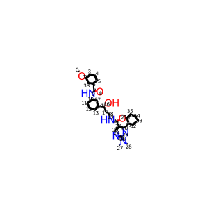 COc1cccc(C(=O)Nc2cccc(C(O)CCNC(=O)c3cnc(N(C)C)nc3-c3ccccc3)c2)c1